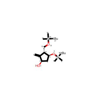 C=C1[C@H](O)C[C@H](O[Si](C)(C)C(C)(C)C)[C@H]1CO[Si](C)(C)C(C)(C)C